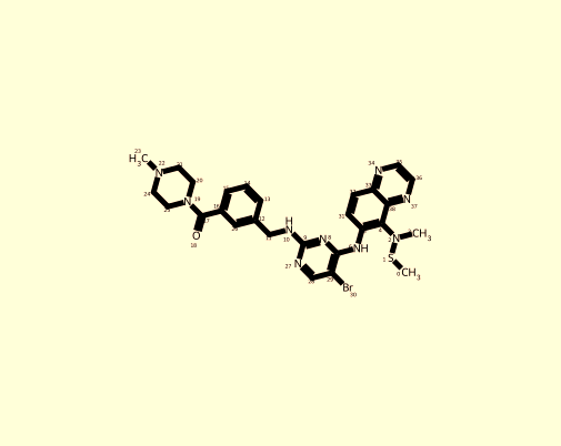 CSN(C)c1c(Nc2nc(NCc3cccc(C(=O)N4CCN(C)CC4)c3)ncc2Br)ccc2nccnc12